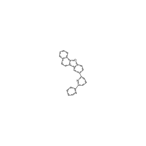 c1ccc(-c2cccc(-c3ccc4oc5c6ccccc6ccc5c4c3)n2)nc1